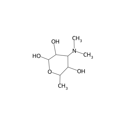 CC1OC(O)C(O)C(N(C)C)C1O